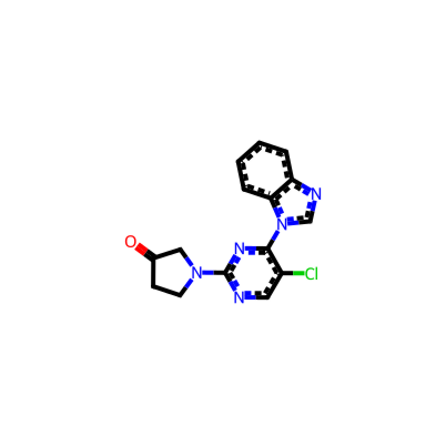 O=C1CCN(c2ncc(Cl)c(-n3cnc4ccccc43)n2)C1